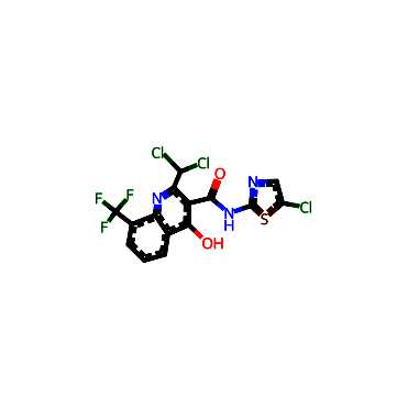 O=C(Nc1ncc(Cl)s1)c1c(C(Cl)Cl)nc2c(C(F)(F)F)cccc2c1O